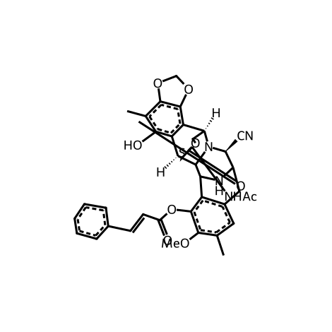 COc1c(C)cc2c(c1OC(=O)/C=C/c1ccccc1)C1NC(C2)[C@H](C#N)N2C1[C@@H]1SCC(NC(C)=O)C(=O)OC[C@H]2c2c3c(c(C)c(O)c21)OCO3